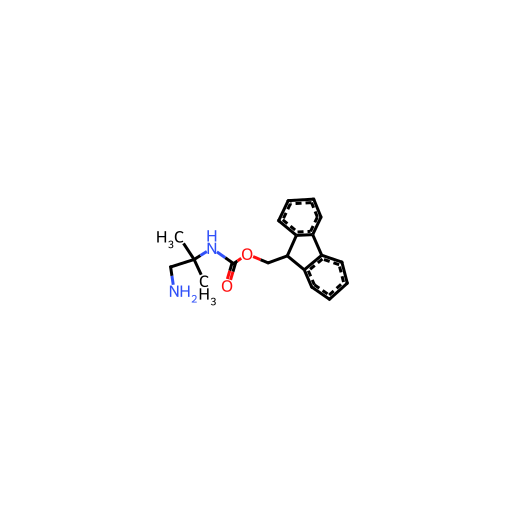 CC(C)(CN)NC(=O)OCC1c2ccccc2-c2ccccc21